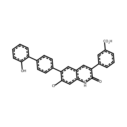 O=C(O)c1cccc(-c2cc3cc(-c4ccc(-c5ccccc5O)cc4)c(Cl)cc3[nH]c2=O)c1